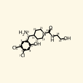 N[C@@H](c1cc(Cl)c(Cl)cc1O)C1CCN(C(=O)NCCO)CC1